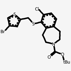 CC(C)(C)OC(=O)N1CCc2ccc(Cl)c(SCc3cc(Br)cs3)c2CC1